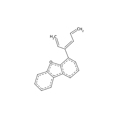 C=C/C=C(\C=C)c1cccc2c1oc1ccccc12